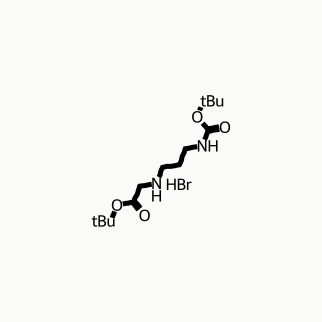 Br.CC(C)(C)OC(=O)CNCCCNC(=O)OC(C)(C)C